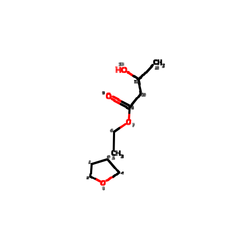 C1CCOC1.CCOC(=O)CC(C)O